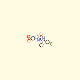 CS(=O)(=O)c1ccc(-c2nc3c(nc(-c4ccc(Cl)cc4)n3-c3ccccc3)c(=O)[nH]2)cc1